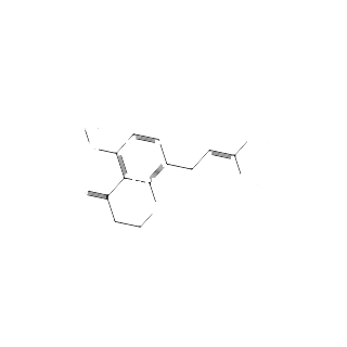 COc1ccc(CC=C(C)C)c2c1C(=O)CCO2